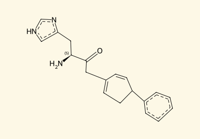 N[C@@H](Cc1c[nH]cn1)C(=O)CC1=CCC(c2ccccc2)C=C1